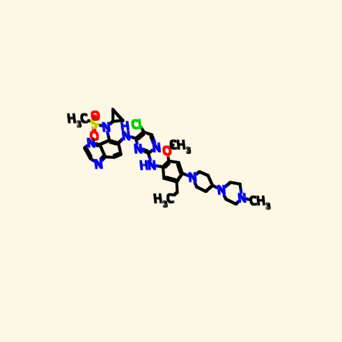 CCc1cc(Nc2ncc(Cl)c(Nc3ccc4nccnc4c3N(C3CC3)S(C)(=O)=O)n2)c(OC)cc1N1CCC(N2CCN(C)CC2)CC1